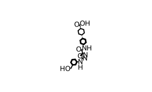 O=C(Nc1ccc([C@H]2CC[C@H](C(=O)O)CC2)cc1)c1nnc(Nc2cccc(CO)c2)o1